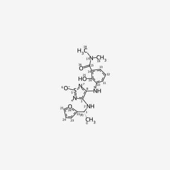 C[C@@H](Nc1n[s+]([O-])nc1Nc1cccc(C(=O)N(C)C)c1O)c1ccco1